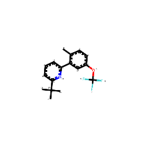 Cc1ccc(OC(F)(F)F)cc1-c1cccc(C(C)(C)C)n1